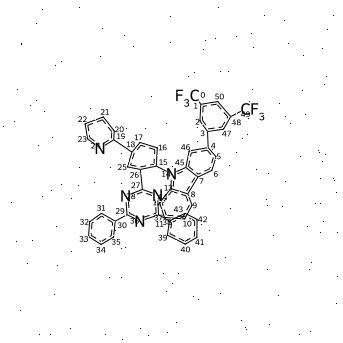 FC(F)(F)c1cc(-c2ccc3c4ccccc4n(-c4ccc(-c5ccccn5)cc4-c4nc(-c5ccccc5)nc(-c5ccccc5)n4)c3c2)cc(C(F)(F)F)c1